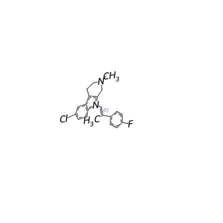 C/C(=C\n1c2c(c3cc(Cl)ccc31)CCN(C)C2)c1ccc(F)cc1